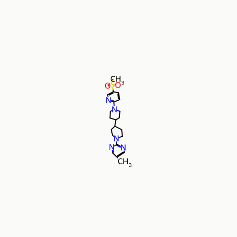 Cc1cnc(N2CCC(C3CCN(c4ccc(S(C)(=O)=O)cn4)CC3)CC2)nc1